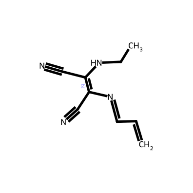 C=CC=N/C(C#N)=C(/C#N)NCC